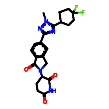 Cn1nc(-c2ccc3c(c2)CN(C2CCC(=O)NC2=O)C3=O)nc1C1CCC(F)(F)CC1